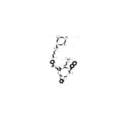 CN1C(=O)[C@@H](Cc2ccc(O)cc2)NC(=O)CNC(=O)[C@H](Cc2ccc3ccccc3c2)NC(=O)[C@H](CCCNC(=N)N)NC(=O)[C@H]1CCCNC(=O)c1ccc(NC(=O)CCCCNC(O)CN2CCN(CC(=O)O)CCN(CC(=O)O)CCN(CC(=O)O)CC2)cc1